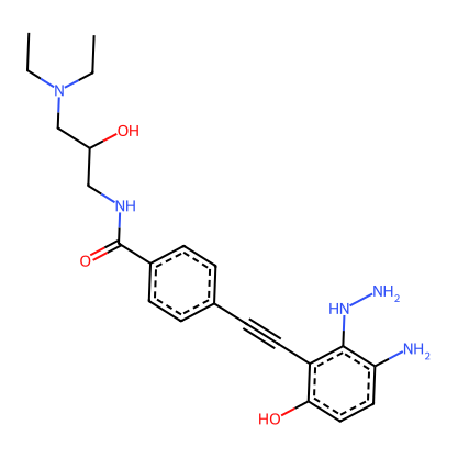 CCN(CC)CC(O)CNC(=O)c1ccc(C#Cc2c(O)ccc(N)c2NN)cc1